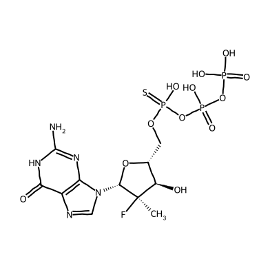 C[C@@]1(F)[C@H](O)[C@@H](COP(O)(=S)OP(=O)(O)OP(=O)(O)O)O[C@H]1n1cnc2c(=O)[nH]c(N)nc21